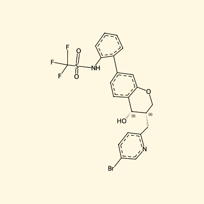 O=S(=O)(Nc1ccccc1-c1ccc2c(c1)OC[C@H](Cc1ccc(Br)cn1)[C@@H]2O)C(F)(F)F